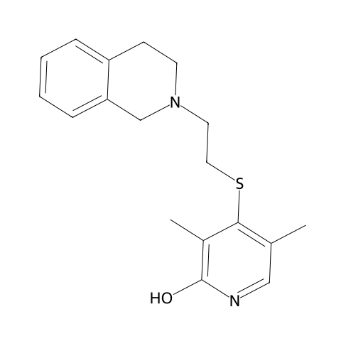 Cc1cnc(O)c(C)c1SCCN1CCc2ccccc2C1